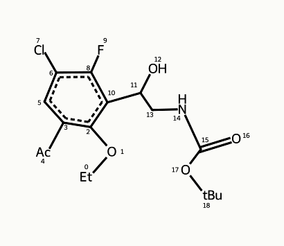 CCOc1c(C(C)=O)cc(Cl)c(F)c1C(O)CNC(=O)OC(C)(C)C